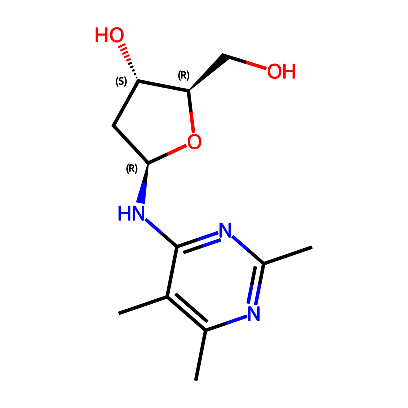 Cc1nc(C)c(C)c(N[C@H]2C[C@H](O)[C@@H](CO)O2)n1